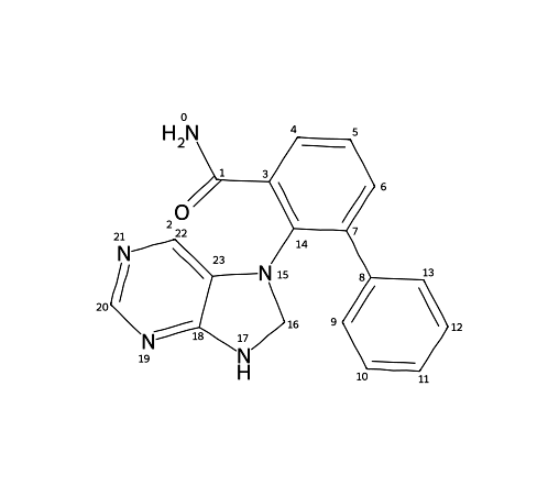 NC(=O)c1cccc(-c2ccccc2)c1N1CNc2ncncc21